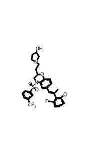 C/C(=C\c1ccc2c(c1)N(S(=O)(=O)c1cccc(C(F)(F)F)c1)CC(CCN1CCC(O)C1)O2)c1c(F)cccc1Cl